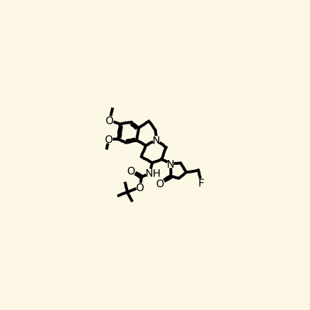 COc1cc2c(cc1OC)C1CC(NC(=O)OC(C)(C)C)C(N3CC(CF)CC3=O)CN1CC2